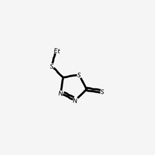 CCSC1N=NC(=S)S1